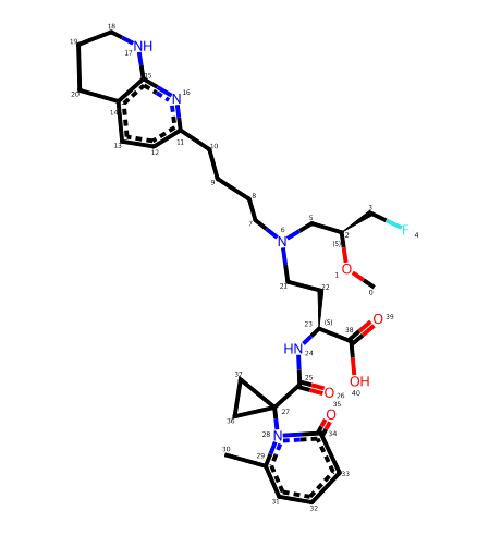 CO[C@H](CF)CN(CCCCc1ccc2c(n1)NCCC2)CC[C@H](NC(=O)C1(n2c(C)cccc2=O)CC1)C(=O)O